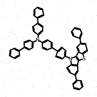 c1ccc(-c2ccc(N(c3ccc(-c4ccccc4)cc3)c3ccc(-c4ccc(-n5c6ccc(-c7ccccc7)cc6c6sc7ccc(-c8ccccc8)cc7c65)cc4)cc3)cc2)cc1